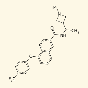 CC(NC(=O)c1ccc2c(Oc3ccc(C(F)(F)F)cc3)cccc2c1)C1CN(C(C)C)C1